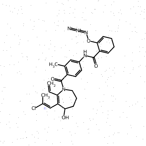 C=CC1=C(/C=C(\C)Cl)C(O)CCCN1C(=O)c1ccc(NC(=O)C2=CCCC=C2ON=[N+]=[N-])cc1C